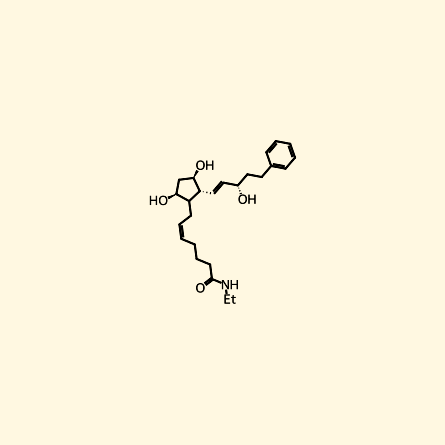 CCNC(=O)CCC/C=C\CC1[C@@H](/C=C/[C@@H](O)CCc2ccccc2)[C@H](O)C[C@@H]1O